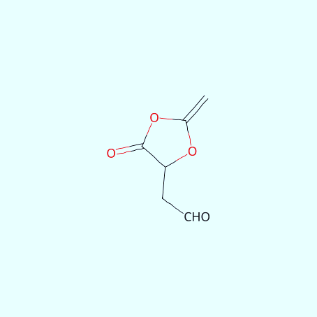 C=C1OC(=O)C(CC=O)O1